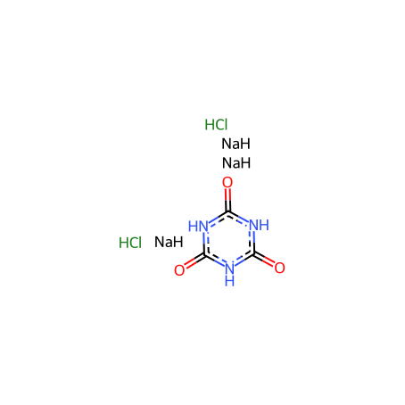 Cl.Cl.O=c1[nH]c(=O)[nH]c(=O)[nH]1.[NaH].[NaH].[NaH]